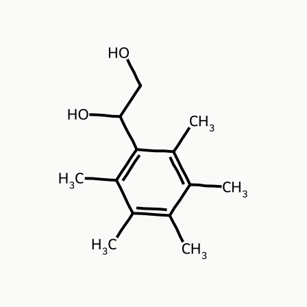 Cc1c(C)c(C)c(C(O)CO)c(C)c1C